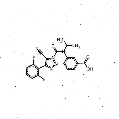 CC(C)N(C(=O)n1nnc(-c2c(F)cccc2F)c1C#N)c1cccc(C(=O)O)c1